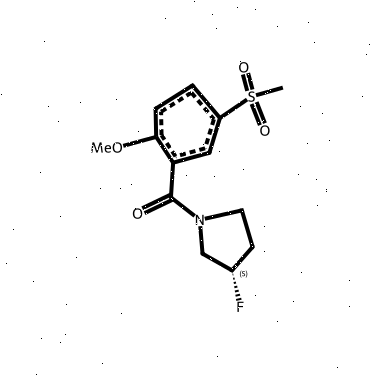 COc1ccc(S(C)(=O)=O)cc1C(=O)N1CC[C@H](F)C1